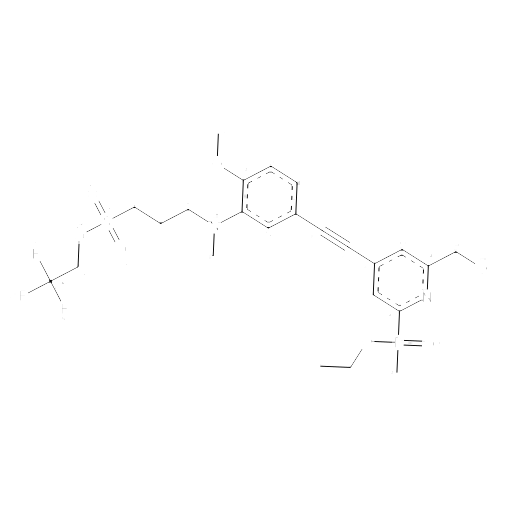 CCOP(C)(=O)c1cc(C#Cc2ccc(OC)c(N(C)CCCS(=O)(=O)OCC(F)(F)F)c2)cc(CO)n1